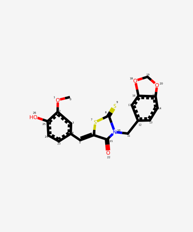 COc1cc(C=C2SC(=S)N(Cc3ccc4c(c3)OCO4)C2=O)ccc1O